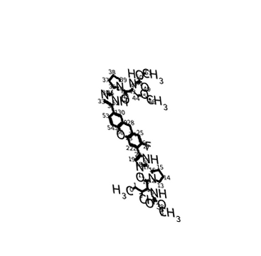 CC[C@H](C)[C@H](NC(=O)OC)C(=O)N1CCC[C@H]1c1ncc(-c2cc3c(cc2F)Cc2cc(-c4cnc([C@@H]5CCCN5C(=O)[C@H](COC)NC(=O)OC)[nH]4)ccc2O3)[nH]1